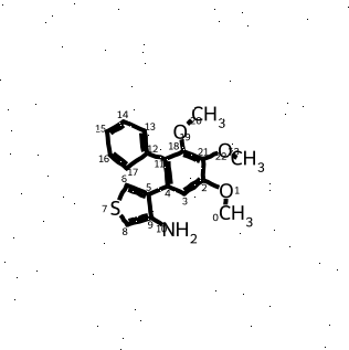 COc1cc(-c2cscc2N)c(-c2ccccc2)c(OC)c1OC